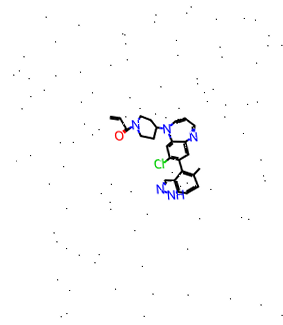 C=CC(=O)N1CCC(N2C=CC=Nc3cc(-c4c(C)ccc5[nH]ncc45)c(Cl)cc32)CC1